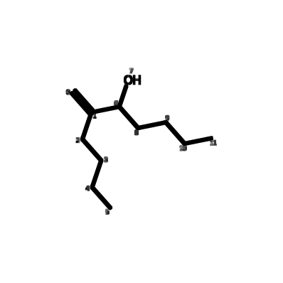 C=C(CCCC)C(O)CCCC